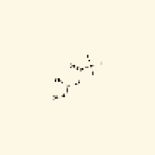 O=CC(Cl)CC(=O)C(F)(F)F